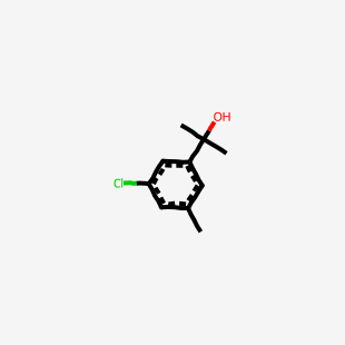 Cc1cc(Cl)cc(C(C)(C)O)c1